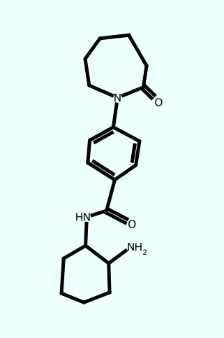 NC1CCCCC1NC(=O)c1ccc(N2CCCCCC2=O)cc1